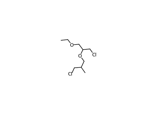 CCOCC(CCl)OCC(C)CCl